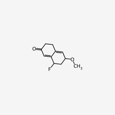 COC1C=C2CCC(=O)C=C2C(F)C1